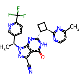 Cc1ccnc([C@@H]2CC[C@H]2c2nc3c(c(C#N)nn3[C@@H](C)c3ccc(C(F)(F)F)nc3)c(=O)[nH]2)n1